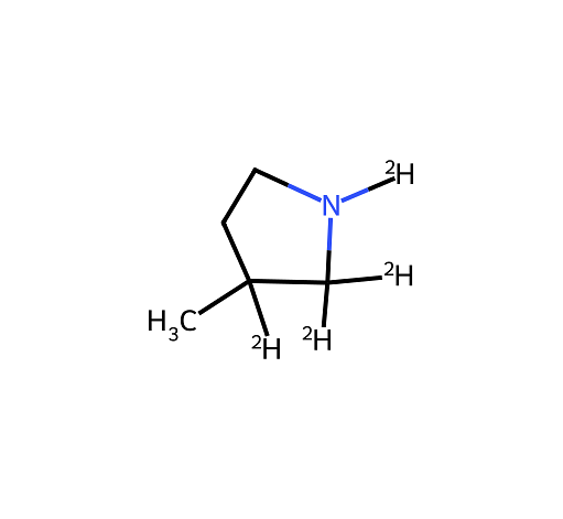 [2H]N1CCC([2H])(C)C1([2H])[2H]